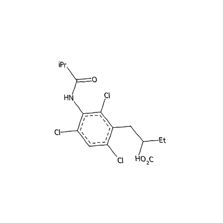 CCC(Cc1c(Cl)cc(Cl)c(NC(=O)C(C)C)c1Cl)C(=O)O